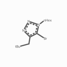 CCCCCCn1nnc(CC(C)(C)C)c1Br